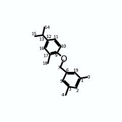 Cc1cc(C)cc(COc2ccc(C(C)C)cc2C)c1